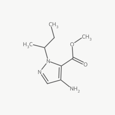 CCC(C)n1ncc(N)c1C(=O)OC